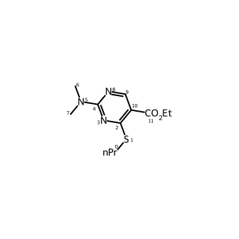 CCCSc1nc(N(C)C)ncc1C(=O)OCC